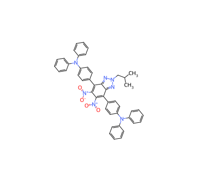 CC(C)Cn1nc2c(-c3ccc(N(c4ccccc4)c4ccccc4)cc3)c([N+](=O)[O-])c([N+](=O)[O-])c(-c3ccc(N(c4ccccc4)c4ccccc4)cc3)c2n1